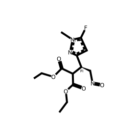 CCOC(=O)C(C(=O)OCC)[C@H](CN=O)c1cc(F)n(C)n1